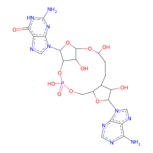 Nc1nc2c(ncn2C2OC3OC(O)CCC4C(COP(=O)(O)OC2C3O)OC(n2cnc3c(N)ncnc32)C4O)c(=O)[nH]1